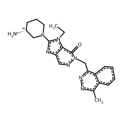 CCn1c(N2CCC[C@@H](N)C2)nc2cnn(Cc3nnc(C)c4ccccc34)c(=O)c21